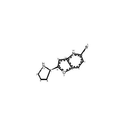 Brc1ccc2oc([C@H]3CCCN3)cc2n1